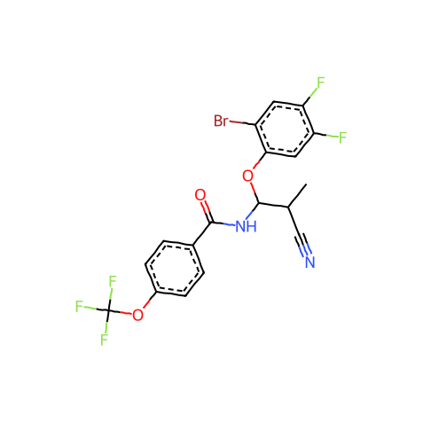 CC(C#N)C(NC(=O)c1ccc(OC(F)(F)F)cc1)Oc1cc(F)c(F)cc1Br